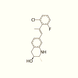 C/C(=C\c1ccc2c(c1)N[C@H](C)[C@@H](O)C2)c1c(F)cccc1Cl